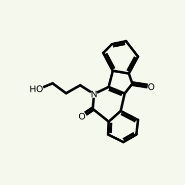 O=C1c2ccccc2-c2c1c1ccccc1c(=O)n2CCCO